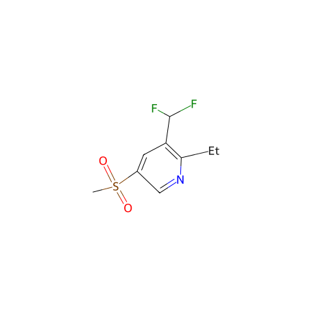 CCc1ncc(S(C)(=O)=O)cc1C(F)F